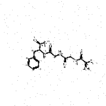 C=C(C)C(=O)NCC(=O)NCC(=O)NC(Cc1ccccc1)C(N)=O